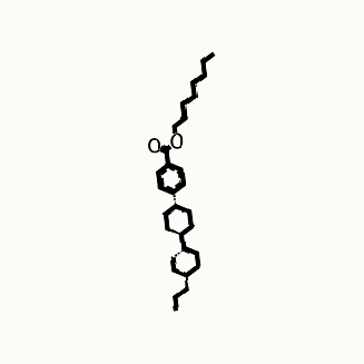 CCCCCCCCOC(=O)c1ccc([C@H]2CC[C@H]([C@H]3CC[C@H](CCC)CC3)CC2)cc1